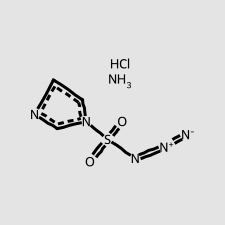 Cl.N.[N-]=[N+]=NS(=O)(=O)n1ccnc1